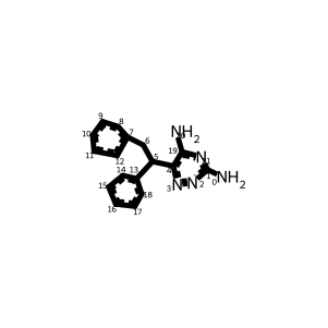 Nc1nnc(C(Cc2ccccc2)c2ccccc2)c(N)n1